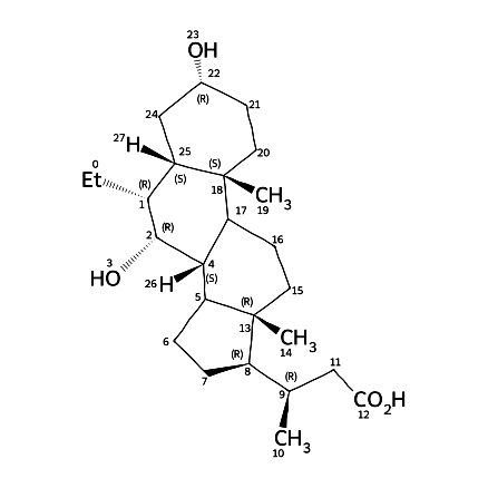 CC[C@H]1[C@@H](O)[C@H]2C3CC[C@H]([C@H](C)CC(=O)O)[C@@]3(C)CCC2[C@@]2(C)CC[C@@H](O)C[C@@H]12